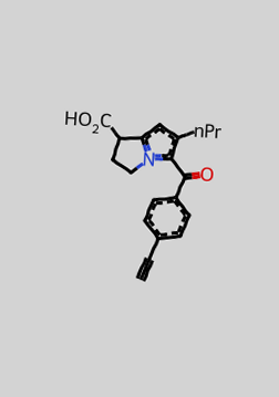 C#Cc1ccc(C(=O)c2c(CCC)cc3n2CCC3C(=O)O)cc1